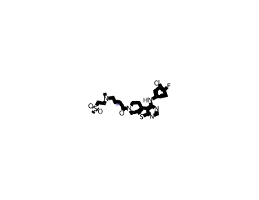 CN(C/C=C/C(=O)N1CCc2c(sc3ncnc(Nc4ccc(F)c(Cl)c4)c23)C1)CCS(C)(=O)=O